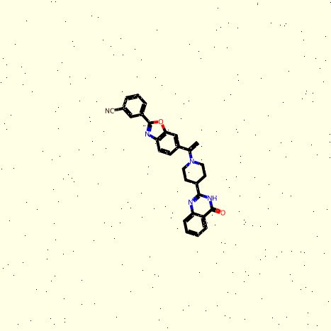 C=C(c1ccc2nc(-c3cccc(C#N)c3)oc2c1)N1CCC(c2nc3ccccc3c(=O)[nH]2)CC1